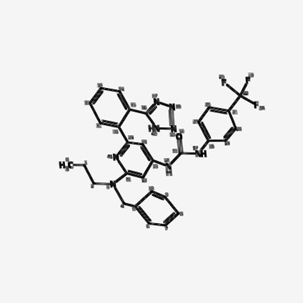 CCCN(Cc1ccccc1)c1cc(NC(=O)Nc2ccc(C(F)(F)F)cc2)cc(-c2ccccc2-c2nnn[nH]2)n1